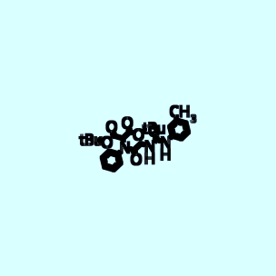 Cc1cccc(NC(=O)NCC(=O)N(c2ccccc2)C(C(=O)OC(C)(C)C)C(=O)OC(C)(C)C)c1